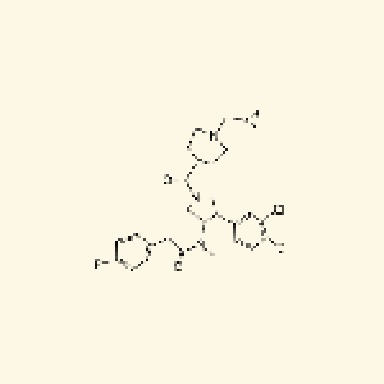 CN(C(=O)Cc1ccc(F)cc1)C1CN(C(=O)C2CCN(CC3CC3)CC2)CC1c1ccc(Cl)c(Cl)c1